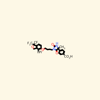 CCCc1c(OCCCCN2C(=O)NC(C)(c3ccc(C(=O)O)cc3)C2=O)ccc2c1COC2(C(F)(F)F)C(F)(F)F